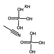 CC#N.O=P(O)(O)O.O=P(O)(O)O.[KH]